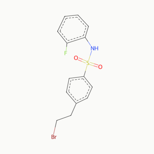 O=S(=O)(Nc1ccccc1F)c1ccc(CCBr)cc1